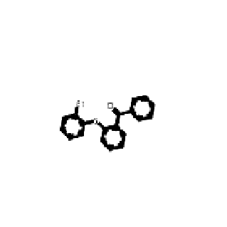 CCc1ccccc1Sc1ccccc1C(=O)c1ccccc1